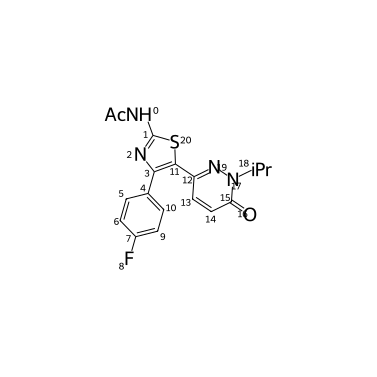 CC(=O)Nc1nc(-c2ccc(F)cc2)c(-c2ccc(=O)n(C(C)C)n2)s1